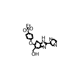 CCS(=O)(=O)c1ccc(Oc2cc3[nH]c(-c4cnccn4)nc3cc2CO)cc1